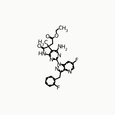 CCOC(=O)CC1(C)C(=O)Nc2nc(-n3nc(Cc4ccccc4F)c4ncc(F)cc43)nc(N)c21